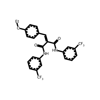 CCOc1ccc(C=C(C(=O)Nc2cccc(C(F)(F)F)c2)C(=O)Nc2cccc(C(F)(F)F)c2)cc1